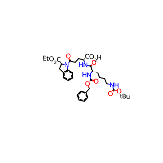 CCOC(=O)[C@@H]1Cc2ccccc2N1C(=O)CC[C@@H](NC(=O)[C@H](CCCCNC(=O)OC(C)(C)C)NC(=O)OCc1ccccc1)C(=O)O